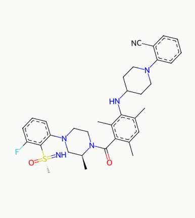 Cc1cc(C)c(C(=O)N2CCN(c3cccc(F)c3[S@@](C)(=N)=O)C[C@@H]2C)c(C)c1NC1CCN(c2ccccc2C#N)CC1